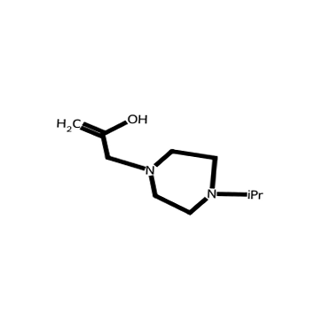 C=C(O)CN1CCN(C(C)C)CC1